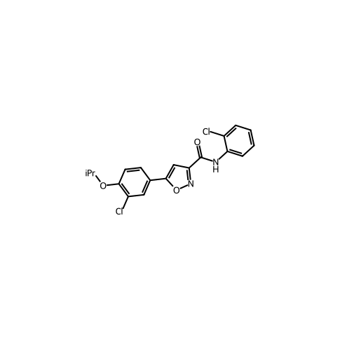 CC(C)Oc1ccc(-c2cc(C(=O)Nc3ccccc3Cl)no2)cc1Cl